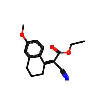 CCOC(=O)C(C#N)=C1CCCc2cc(OC)ccc21